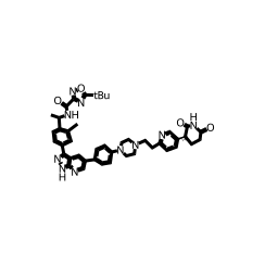 Cc1cc(-c2n[nH]c3ncc(-c4ccc(N5CCN(CCc6ccc([C@@H]7CCC(=O)NC7=O)cn6)CC5)cc4)cc23)ccc1C(C)NC(=O)c1noc(C(C)(C)C)n1